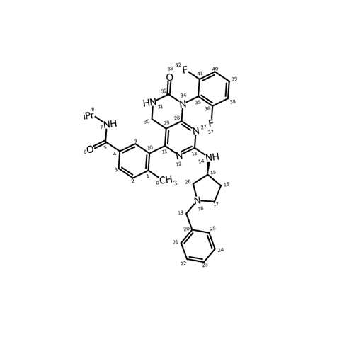 Cc1ccc(C(=O)NC(C)C)cc1-c1nc(N[C@H]2CCN(Cc3ccccc3)C2)nc2c1CNC(=O)N2c1c(F)cccc1F